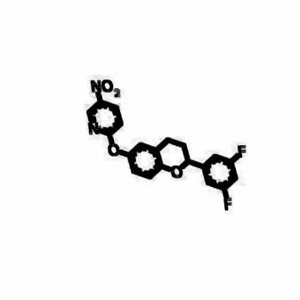 O=[N+]([O-])c1ccc(Oc2ccc3c(c2)CCC(c2cc(F)cc(F)c2)O3)nc1